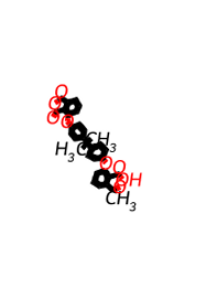 CC(=O)c1cccc(Oc2ccc(C(C)(C)c3ccc(Oc4cccc5c4C(=O)OC5=O)cc3)cc2)c1C(=O)O